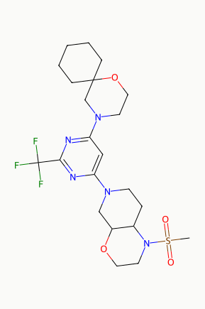 CS(=O)(=O)N1CCOC2CN(c3cc(N4CCOC5(CCCCC5)C4)nc(C(F)(F)F)n3)CCC21